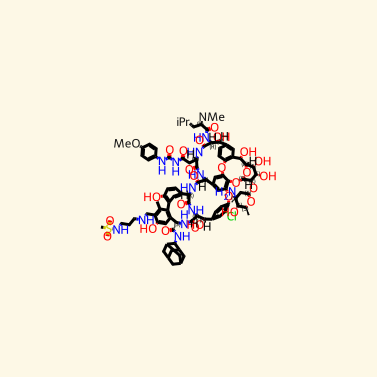 CN[C@H](CC(C)C)C(=O)N[C@H]1C(=O)N[C@@H](CC(=O)NC(=O)Nc2ccc(OC)cc2)C(=O)N[C@H]2C(=O)N[C@H]3C(=O)N[C@H](C(=O)N[C@H](C(=O)NC4C5CC6CC(C5)CC4C6)c4cc(O)c(CNCCCNS(C)(=O)=O)c(C)c4-c4cc3ccc4O)[C@H](O)c3ccc(c(Cl)c3)Oc3cc2cc2c3O[C@@H]3O[C@H](C(O)c4cc(ccc4O2)[C@H]1O)[C@@H](O)[C@H](O)[C@H]3O[C@H]1C[C@](C)(N)[C@H](O)[C@H](C)O1